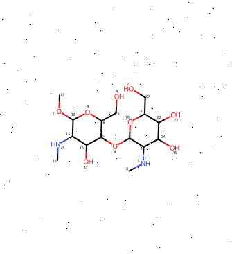 CNC1C(OC2C(CO)OC(OC)C(NC)C2O)OC(CO)C(O)C1O